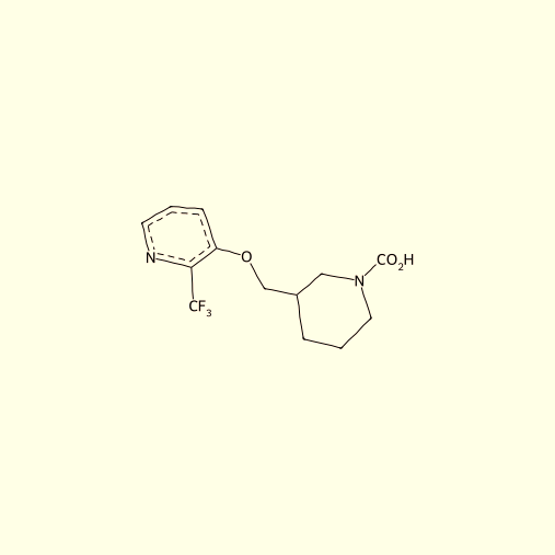 O=C(O)N1CCCC(COc2cccnc2C(F)(F)F)C1